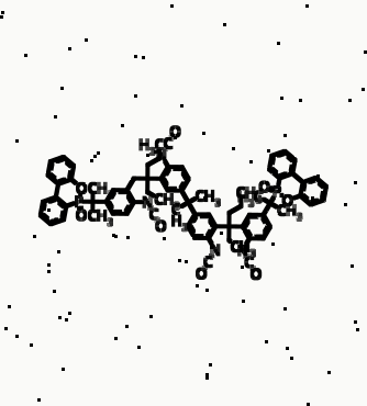 CCCC(CC)(Cc1cc(C(C)(C)P2(=O)Oc3ccccc3-c3ccccc32)ccc1N=C=O)c1cc(C(C)(C)c2ccc(N=C=O)c(C(CC)(CCC)c3cc(C(C)(C)P4(=O)Oc5ccccc5-c5ccccc54)ccc3N=C=O)c2)ccc1N=C=O